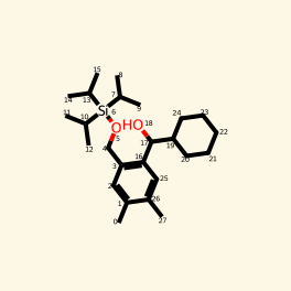 Cc1cc(CO[Si](C(C)C)(C(C)C)C(C)C)c(C(O)C2CCCCC2)cc1C